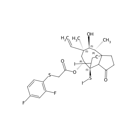 C=C[C@]1(C)C[C@@H](OC(=O)CSc2ccc(F)cc2F)[C@]2(SI)C(I)CCC3(CCC(=O)C32)[C@@H](C)[C@@H]1O